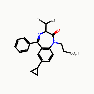 CCC(CC)C1N=C(c2ccccc2)c2cc(C3CC3)ccc2N(CCC(=O)O)C1=O